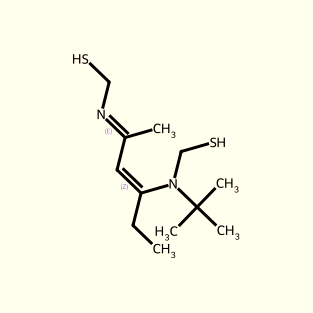 CC/C(=C/C(C)=N/CS)N(CS)C(C)(C)C